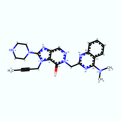 CC#CCn1c(N2CCNCC2)nc2cnn(Cc3nc(N(C)C)c4ccccc4n3)c(=O)c21